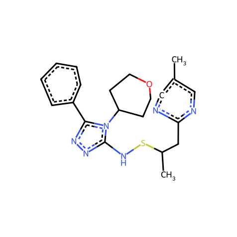 Cc1cnc(CC(C)SNc2nnc(-c3ccccc3)n2C2CCOCC2)nc1